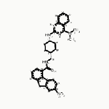 CN(C)c1nc(N[C@H]2CC[C@@H](CNC(=O)c3cccc4c3-c3ccc([N+](=O)[O-])cc3C4)CC2)nc2ccccc12